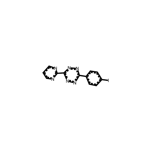 Ic1ccc(-c2nnc(-c3ncccn3)nn2)cc1